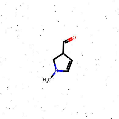 CN1C=CC(C=O)C1